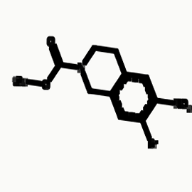 CC(C)(C)OC(=O)N1CCc2cc([N+](=O)[O-])c(Br)cc2C1